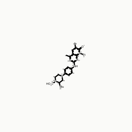 CCn1c(=O)c(Br)cc2c(C)nc(Nc3ccc(N4CCN(C(=O)O)C(C(C)(C)C)C4)cc3)nc21